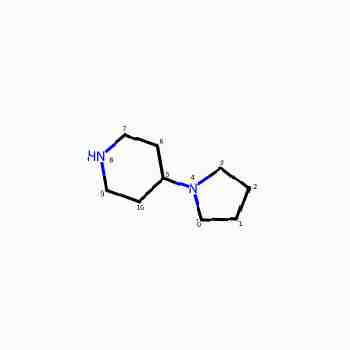 [CH]1CCCN1C1CCNCC1